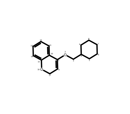 C1=C(OCC2CCCCC2)c2ccccc2OC1